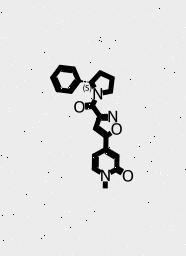 Cn1ccc(-c2cc(C(=O)N3CCC[C@H]3c3ccccc3)no2)cc1=O